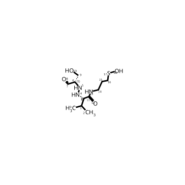 CC(C)[C@H](NN[C@H](C=O)CO)C(=O)NCCCSO